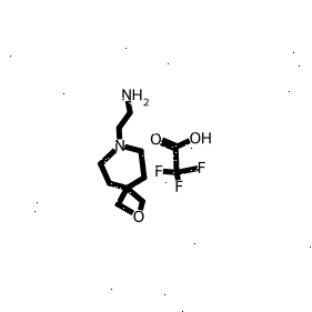 NCCN1CCC2(CC1)COC2.O=C(O)C(F)(F)F